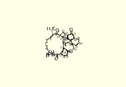 CO[C@H]1/C=C/CCC/[SH](=O)=N\C(=O)c2ccc3c(c2)N(C[C@@H]2CCC21)C[C@@]1(CCCc2cc(Cl)ccc21)CO3